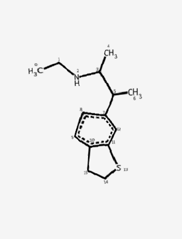 CCNC(C)C(C)c1ccc2c(c1)SCC2